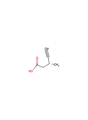 C#C[C@H](C)CC(=O)O